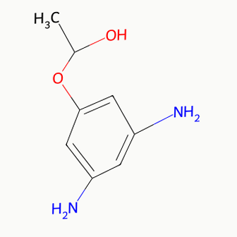 CC(O)Oc1cc(N)cc(N)c1